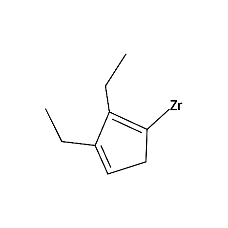 CCC1=CC[C]([Zr])=C1CC